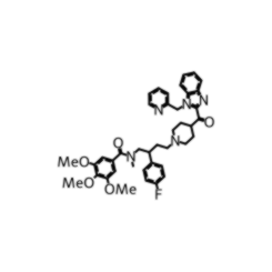 COc1cc(C(=O)N(C)CC(CCN2CCC(C(=O)c3nc4ccccc4n3Cc3ccccn3)CC2)c2ccc(F)cc2)cc(OC)c1OC